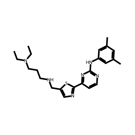 CCN(CC)CCCNCc1cnc(-c2ccnc(Nc3cc(C)cc(C)c3)n2)s1